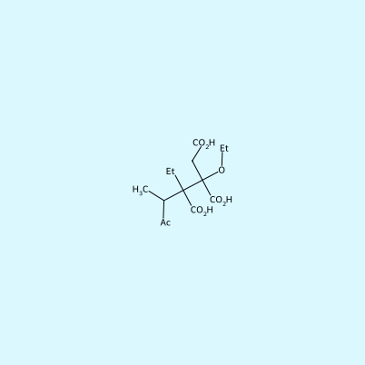 CCOC(CC(=O)O)(C(=O)O)C(CC)(C(=O)O)C(C)C(C)=O